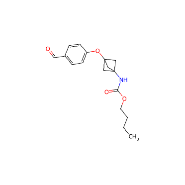 CCCCOC(=O)NC12CC(Oc3ccc(C=O)cc3)(C1)C2